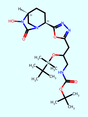 CC(C)(C)OC(=O)NCC(Cc1nnc([C@@H]2CC[C@H]3CN2C(=O)N3O)o1)O[Si](C)(C)C(C)(C)C